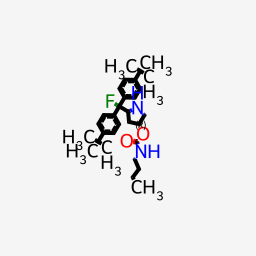 CCCCNC(=O)O[C@H]1CNC(C(F)(c2ccc(C(C)(C)C)cc2)c2ccc(C(C)(C)C)cc2)C1